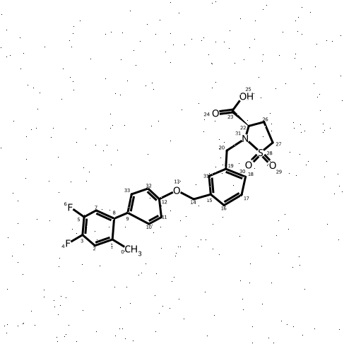 Cc1cc(F)c(F)cc1-c1ccc(OCc2cccc(CN3[C@@H](C(=O)O)CCS3(=O)=O)c2)cc1